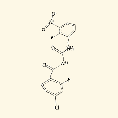 O=C(NC(=O)c1ccc(Cl)cc1F)Nc1cccc([N+](=O)[O-])c1F